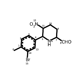 Cc1ccc(C2NC(C=O)CCC2[N+](=O)[O-])cc1Br